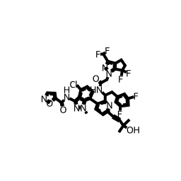 Cn1nc(NC(=O)c2ccno2)c2c(Cl)ccc(-c3ccc(C#CC(C)(C)O)nc3C(Cc3cc(F)cc(F)c3)NC(=O)Cn3nc(C(F)F)c4c3C(F)(F)CC4)c21